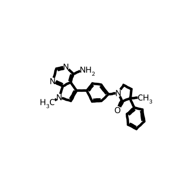 Cn1cc(-c2ccc(N3CCC(C)(c4ccccc4)C3=O)cc2)c2c(N)ncnc21